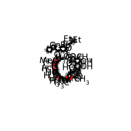 CCCCc1oc2ccccc2c1C(=O)c1cc(I)c(OCCN(CC)CC)c(I)c1.CO[C@H]1/C=C/O[C@@]2(C)Oc3c(C)c(O)c4c(O)c(c(/C=N/N5CCN(C)CC5)c(O)c4c3C2=O)NC(=O)/C(C)=C\C=C\[C@H](C)[C@H](O)[C@@H](C)[C@@H](O)[C@@H](C)[C@H](OC(C)=O)[C@@H]1C